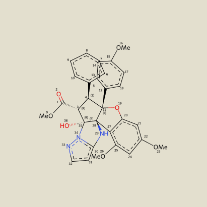 COC(=O)[C@@H]1[C@@H](c2ccccc2)[C@]2(c3ccc(OC)cc3)Oc3cc(OC)cc(OC)c3[C@@]23Nc2ccnn2[C@@]13O